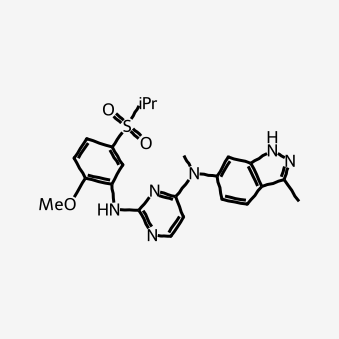 COc1ccc(S(=O)(=O)C(C)C)cc1Nc1nccc(N(C)c2ccc3c(C)n[nH]c3c2)n1